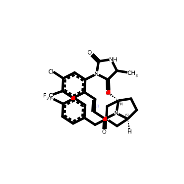 CC1NC(=O)N(c2cc(Cl)c(C(F)(F)F)cc2/C=C/C(=O)N2[C@@H]3CC[C@H]2CN(Cc2ccc(F)cc2)C3)C1=O